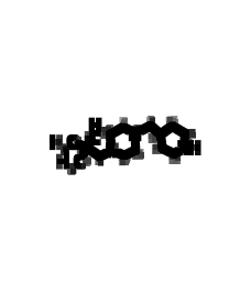 CC(C)(C)CN1CCN(CC2CCNCC2)CC1